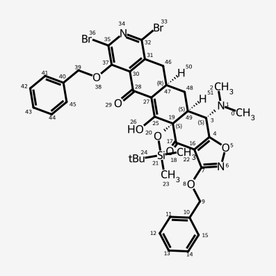 CN(C)[C@@H]1c2onc(OCc3ccccc3)c2C(=O)[C@@]2(O[Si](C)(C)C(C)(C)C)C(O)=C3C(=O)c4c(c(Br)nc(Br)c4OCc4ccccc4)C[C@H]3C[C@@H]12